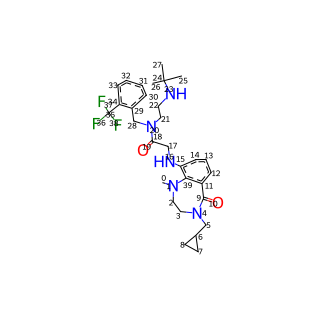 CN1CCN(CC2CC2)C(=O)c2cccc(NCC(=O)N(CCNC(C)(C)C)Cc3ccccc3C(F)(F)F)c21